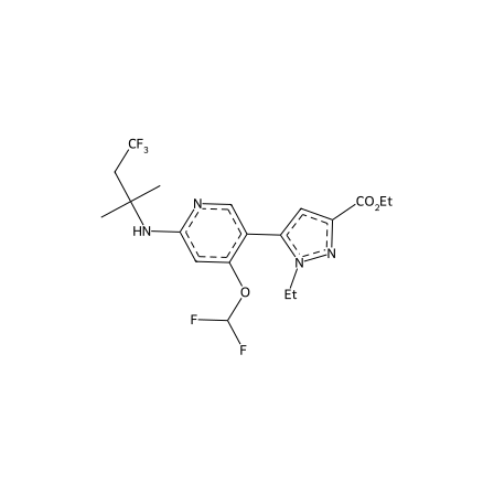 CCOC(=O)c1cc(-c2cnc(NC(C)(C)CC(F)(F)F)cc2OC(F)F)n(CC)n1